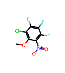 COc1c(Cl)c(F)c(F)c(F)c1[N+](=O)[O-]